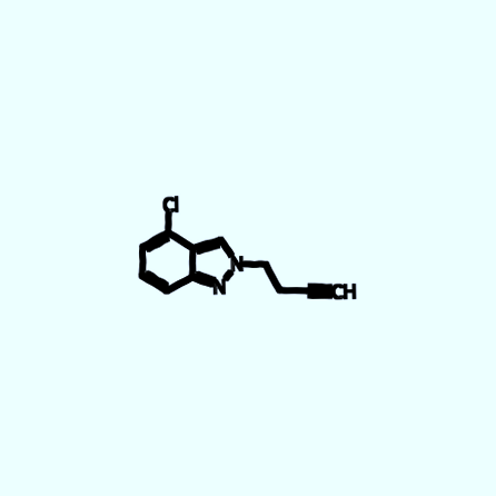 C#CCCn1cc2c(Cl)cccc2n1